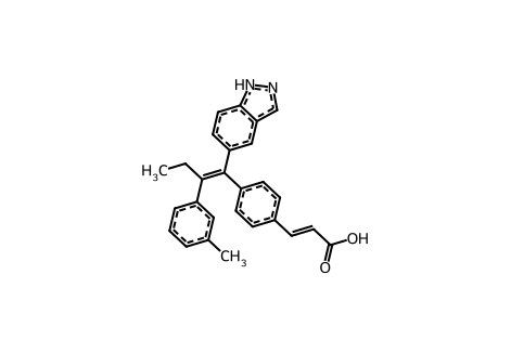 CC/C(=C(/c1ccc(/C=C/C(=O)O)cc1)c1ccc2[nH]ncc2c1)c1cccc(C)c1